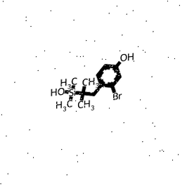 CC(C)(Cc1ccc(O)cc1Br)[Si](C)(C)O